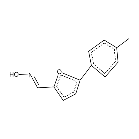 Cc1ccc(-c2ccc(C=NO)o2)cc1